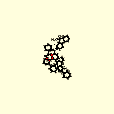 CC1(C)c2ccccc2-c2ccc(N(c3ccc4c(c3)-c3ccccc3-c3ccccc3C43c4ccccc4-c4c3ccc3c4sc4ccccc43)c3ccccc3-c3ccccc3)cc21